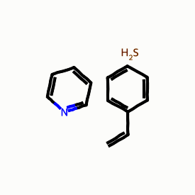 C=Cc1ccccc1.S.c1ccncc1